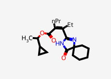 CCC/C(C(=O)OC(C)C1CC1)=C(\CC)C1=NC2(CCCCC2)C(=O)N1